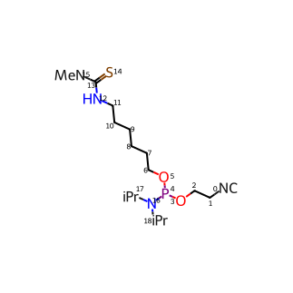 [C-]#[N+]CCOP(OCCCCCCNC(=S)NC)N(C(C)C)C(C)C